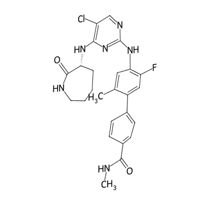 CNC(=O)c1ccc(-c2cc(F)c(Nc3ncc(Cl)c(N[C@@H]4CCCCNC4=O)n3)cc2C)cc1